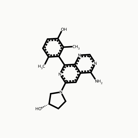 Cc1ccc(O)c(C)c1-c1nc(N2CC[C@H](O)C2)cc2c(N)ncnc12